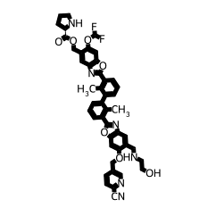 Cc1c(-c2nc3cc(CNCCO)c(OCc4ccc(C#N)nc4)cc3o2)cccc1-c1cccc(-c2nc3cc(COC(=O)[C@@H]4CCCN4)c(OC(F)F)cc3o2)c1C